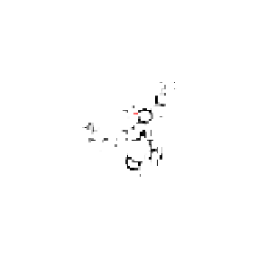 CC(C)(C)C[C@]1(c2ccc(-c3cnn(S(C)(=O)=O)c3)c(F)c2)N/C2=N\C(F)c3ncnn3-c3cc(ccc3Cl)[C@@H](COC(=O)NC3(C(F)(F)F)CC3)N2C1=O